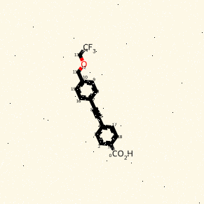 O=C(O)c1ccc(C#Cc2ccc(COCC(F)(F)F)cc2)cc1